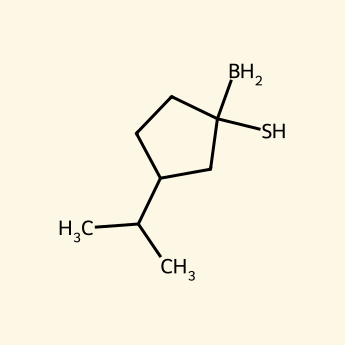 BC1(S)CCC(C(C)C)C1